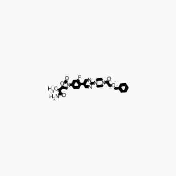 C[C@H](C(N)=O)C1CN(c2ccc(-c3cnc(N4CCN(C(=O)COCc5ccccc5)CC4)nc3)c(F)c2)C(=O)O1